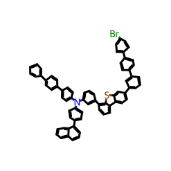 Brc1ccc(-c2ccc(-c3cccc(-c4ccc5c(c4)sc4c(-c6cccc(N(c7ccc(-c8ccc(-c9ccccc9)cc8)cc7)c7ccc(-c8cccc9ccccc89)cc7)c6)cccc45)c3)cc2)cc1